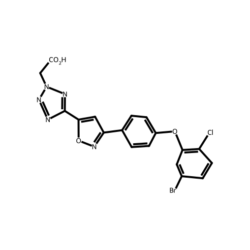 O=C(O)Cn1nnc(-c2cc(-c3ccc(Oc4cc(Br)ccc4Cl)cc3)no2)n1